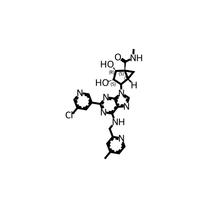 CNC(=O)[C@@]12C[C@@H]1C(n1cnc3c(NCc4cc(C)ccn4)nc(-c4cncc(Cl)c4)nc31)[C@H](O)[C@@H]2O